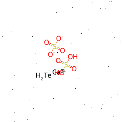 O=S(=O)(O)O.O=S(=O)([O-])[O-].[Ca+2].[TeH2]